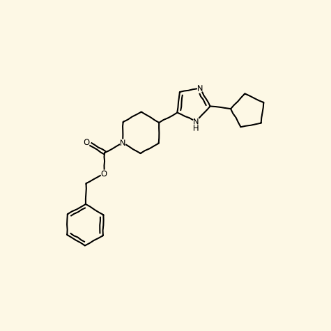 O=C(OCc1ccccc1)N1CCC(c2cnc(C3CCCC3)[nH]2)CC1